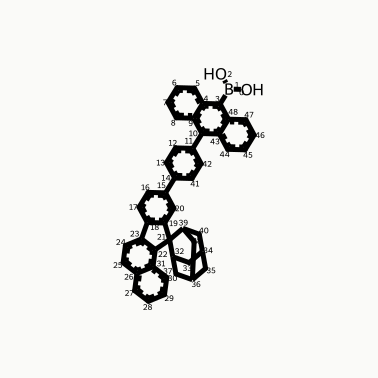 OB(O)c1c2ccccc2c(-c2ccc(-c3ccc4c(c3)C3(c5c-4ccc4ccccc54)C4CC5CC(C4)CC3C5)cc2)c2ccccc12